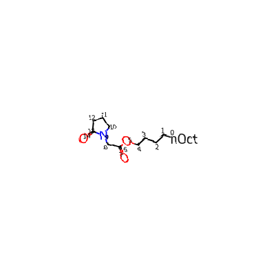 CCCCCCCCCCCCOC(=O)CN1CCCC1=O